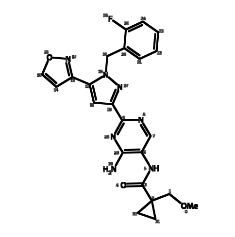 COCC1(C(=O)Nc2cnc(-c3cc(-c4ccon4)n(Cc4ccccc4F)n3)nc2N)CC1